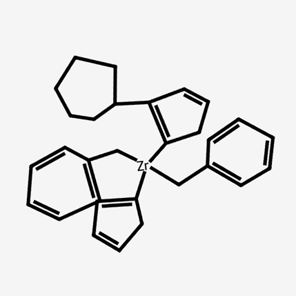 C1=CC[C]([Zr]([CH2]c2ccccc2)([CH2]c2ccccc2)[C]2=C(C3CCCCC3)C=CC2)=C1